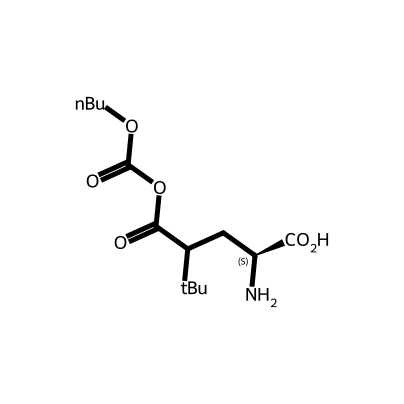 CCCCOC(=O)OC(=O)C(C[C@H](N)C(=O)O)C(C)(C)C